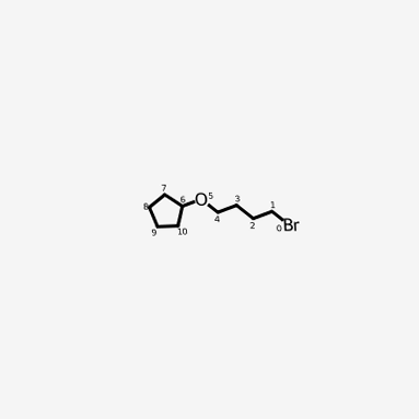 BrCCCCOC1CCCC1